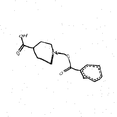 O=C(ON1CCC(C(=O)O)CC1)c1ccccc1